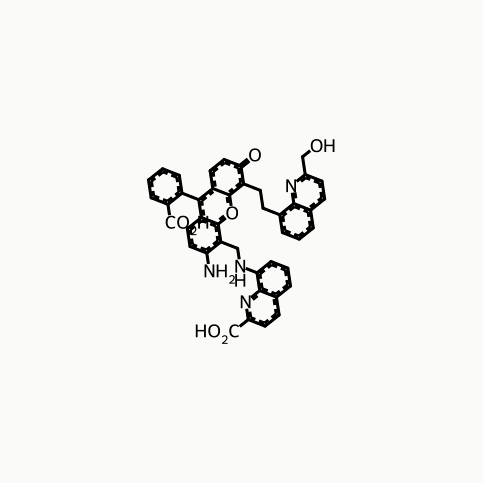 Nc1ccc2c(-c3ccccc3C(=O)O)c3ccc(=O)c(CCc4cccc5ccc(CO)nc45)c-3oc2c1CNc1cccc2ccc(C(=O)O)nc12